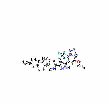 COc1cc(-c2[nH]nc(-c3cc(C)c(C4CCN(CC(C)C)CC4)cn3)c2CC(F)(F)F)cn2ncnc12